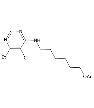 CCc1ncnc(NCCCCCCOC(C)=O)c1Cl